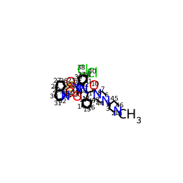 CN1CCC(N2CCN(C(=O)C(c3ccccc3)n3c(=O)n(S(=O)(=O)c4cccc5cccnc45)c4cc(Cl)c(Cl)cc43)CC2)CC1